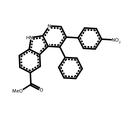 COC(=O)c1ccc2[nH]c3ncc(-c4ccc([N+](=O)[O-])cc4)c(-c4ccccc4)c3c2c1